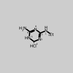 CCNC1=NCNC(N)=N1.Cl